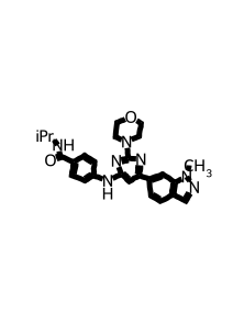 CC(C)NC(=O)c1ccc(Nc2cc(-c3ccc4cnn(C)c4c3)nc(N3CCOCC3)n2)cc1